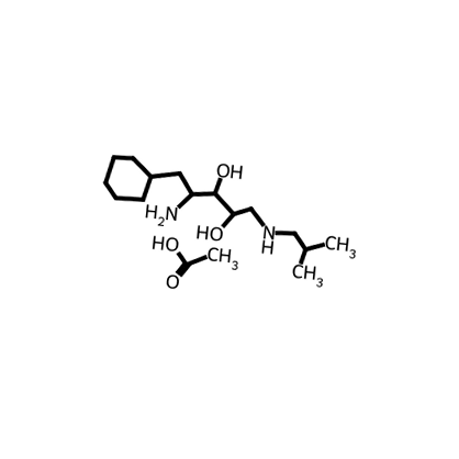 CC(=O)O.CC(C)CNCC(O)C(O)C(N)CC1CCCCC1